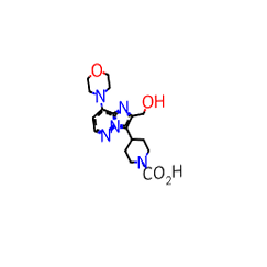 O=C(O)N1CCC(c2c(CO)nc3c(N4CCOCC4)ccnn23)CC1